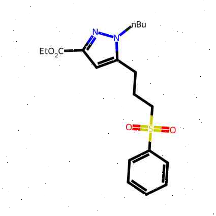 CCCCn1nc(C(=O)OCC)cc1CCCS(=O)(=O)c1ccccc1